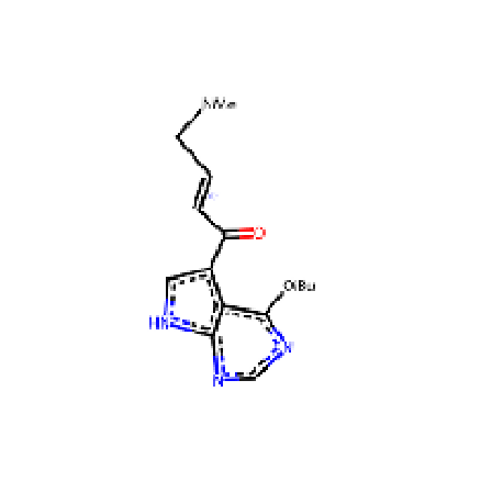 CNC/C=C/C(=O)c1c[nH]c2ncnc(OCC(C)C)c12